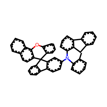 Cc1ccccc1N(c1ccc2c(c1)C1(c3ccccc3Oc3c1ccc1ccccc31)c1ccccc1-2)c1cccc2c1Cc1ccccc1-2